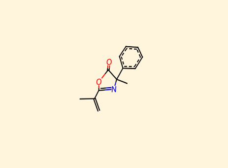 C=C(C)C1=NC(C)(c2ccccc2)C(=O)O1